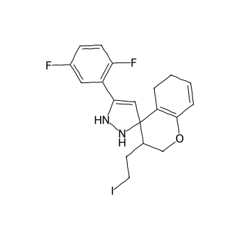 Fc1ccc(F)c(C2=CC3(NN2)C2=C(C=CCC2)OCC3CCI)c1